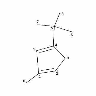 CC1=[C]CC(C(C)(C)C)=C1